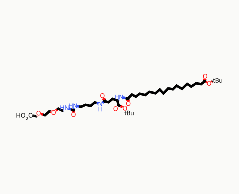 CC(C)(C)OC(=O)CCCCCCCCCCCCCCCCC(=O)NC(CCC(=O)NCCCCNC(=O)NCCOCCOCC(=O)O)C(=O)OC(C)(C)C